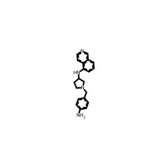 Nc1ccc(CN2CCC(Nc3cccc4cnccc34)C2)cc1